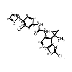 Cc1nc2c(C3(C)CC3)c(NC(=O)Nc3ccc(-n4nccn4)c(Cl)c3)cnc2s1